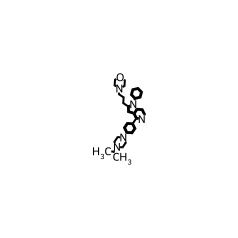 CC(C)N1CCN(c2ccc(-c3nccc4c3cc(CCCN3CCOCC3)n4-c3ccccc3)cc2)CC1